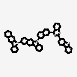 c1ccc2cc3c(cc2c1)c1ccccc1n3-c1ccc2cc3c(cc2c1)c1ccccc1n3-c1ccc2ccc(-c3nc(-c4ccc5c(c4)oc4ccccc45)nc4ccccc34)cc2c1